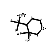 CCCC(C)(C)C1CCOCC1(F)F